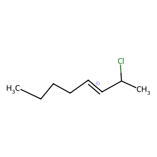 CCCC/C=C/C(C)Cl